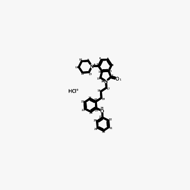 Cl.O=C1c2cccc(N3CCCCC3)c2CN1CCCc1ccccc1Oc1ccccc1